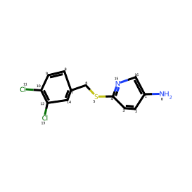 Nc1ccc(SCc2ccc(Cl)c(Cl)c2)nc1